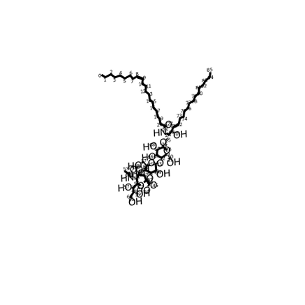 CCCCCCCC/C=C\CCCCCCCCCCCC(=O)N[C@@H](CO[C@@H]1O[C@H](CO)[C@@H](O[C@@H]2O[C@H](CO)[C@H](O)[C@H](O[C@]3(C(=O)O)C[C@H](O)[C@@H](NC(C)=O)C([C@H](O)[C@H](O)CO)O3)[C@H]2O)[C@H](O)[C@H]1O)[C@H](O)/C=C/CCCCCCCCCCCCC